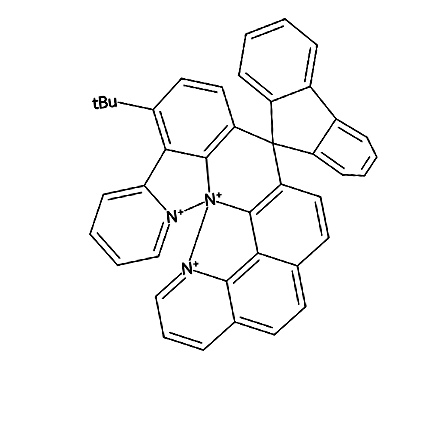 CC(C)(C)c1ccc2c3c1-c1cccc[n+]1[N+]31c3c(ccc4ccc5ccc[n+]1c5c34)C21c2ccccc2-c2ccccc21